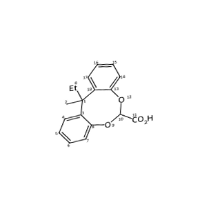 CCC1(C)c2ccccc2OC(C(=O)O)Oc2ccccc21